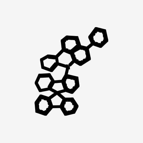 C1=CC2=C(CC1)C1(c3ccccc3-c3ccccc31)c1cccc(N(C3=CCCC=C3c3ccccc3)c3ccc(-c4ccccc4)cc3)c12